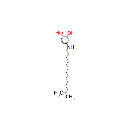 CC(C)CCCCCCCCCCCCNc1ccc(O)c(O)c1